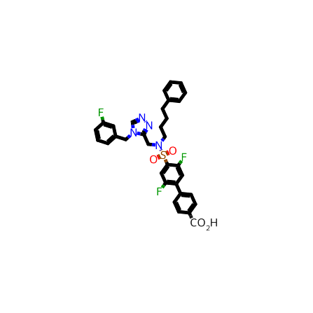 O=C(O)c1ccc(-c2cc(F)c(S(=O)(=O)N(CCCCc3ccccc3)Cc3nncn3Cc3cccc(F)c3)cc2F)cc1